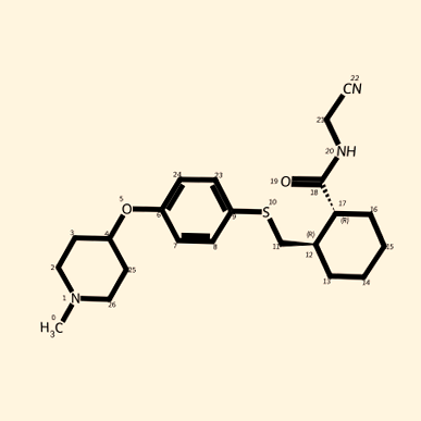 CN1CCC(Oc2ccc(SC[C@@H]3CCCC[C@H]3C(=O)NCC#N)cc2)CC1